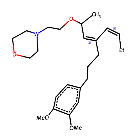 CC/C=C\C(=C/C(C)OCCN1CCOCC1)CCCc1ccc(OC)c(OC)c1